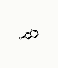 O=C1C=c2cncnc2=N1